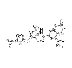 Cc1c(NC(=O)c2cc(C(N)=O)c3ccc(F)cc3n2)c(C(F)(F)F)nn1Cc1cc(C2CC2)on1